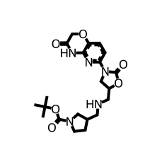 CC(C)(C)OC(=O)N1CCC(CNCC2CN(c3ccc4c(n3)NC(=O)CO4)C(=O)O2)C1